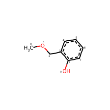 CO[CH]c1ccccc1O